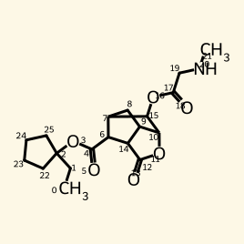 CCC1(OC(=O)C2C3CC4C(OC(=O)C42)C3OC(=O)CNC)CCCC1